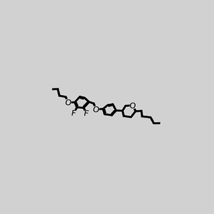 CCCCCC1CCC(c2ccc(OCc3ccc(OCCCC)c(F)c3F)cc2)CO1